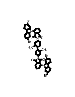 Cc1cc(N2C(=O)c3cccc(-n4c5cc(Br)ccc5c5ccc(Br)cc54)c3C2=O)ccc1-c1ccc(N2C(=O)c3cccc(-n4c5cc(Br)ccc5c5ccc(Br)cc54)c3C2=O)cc1C